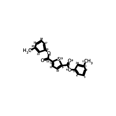 Cc1cccc(OC(=O)c2ccc(C(=O)Oc3cccc(C)c3)s2)c1